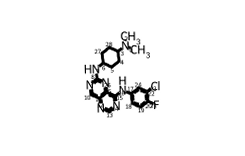 CN(C)C1CCC(Nc2ncc3ncnc(Nc4ccc(F)c(Cl)c4)c3n2)CC1